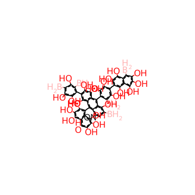 Bc1cc(N=O)c2c(-c3c(O)c(O)c(O)c4c(O)c(O)c(O)c(O)c34)c3c(O)c(-c4c(B)c(O)c(B)c(O)c4O)c(O)c(O)c3c(-c3c(B)c(O)c(-c4c(O)c(O)c5c(B)c(O)c(O)c(O)c5c4O)c(O)c3O)c2c1O